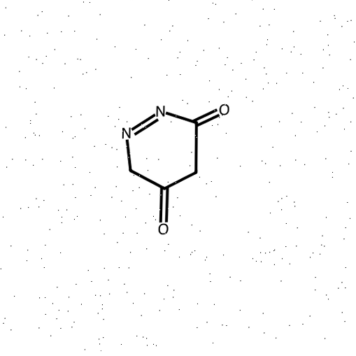 O=C1CN=NC(=O)C1